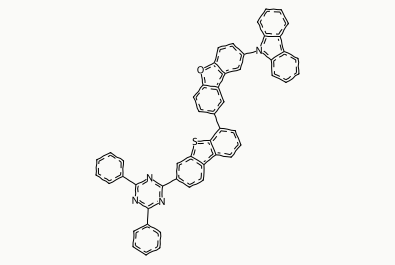 c1ccc(-c2nc(-c3ccccc3)nc(-c3ccc4c(c3)sc3c(-c5ccc6oc7ccc(-n8c9ccccc9c9ccccc98)cc7c6c5)cccc34)n2)cc1